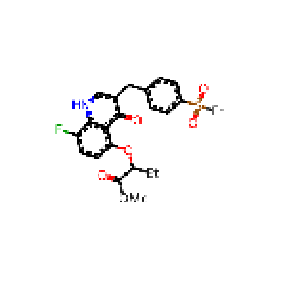 CCC(Oc1ccc(F)c2[nH]cc(Cc3ccc(S(=O)(=O)CC)cc3)c(=O)c12)C(=O)OC